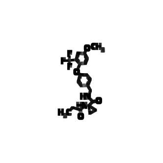 CCC(=O)NC1(C(=O)NCc2ccc(Oc3ccc(OC)cc3C(F)(F)F)cc2)CC1